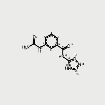 NC(=O)Nc1cccc(C(=O)Nc2nnn[nH]2)c1